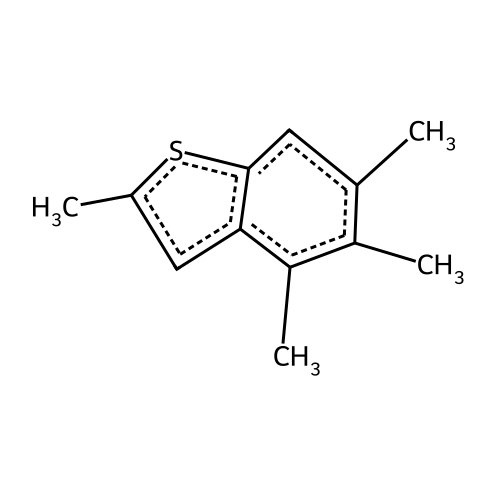 Cc1cc2c(C)c(C)c(C)cc2s1